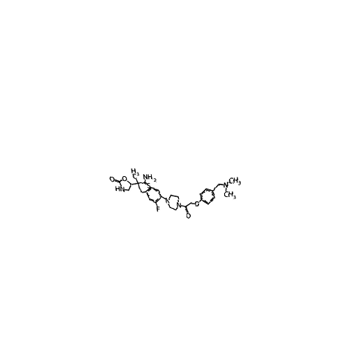 CN(C)Cc1ccc(OCC(=O)N2CCN(c3ccc(CC(C)(C(N)=S)C4CNC(=O)O4)cc3F)CC2)cc1